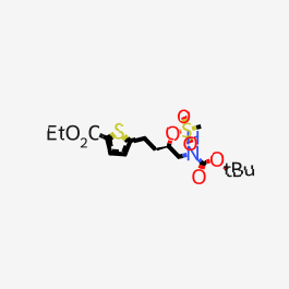 CCOC(=O)c1ccc(CC[C@H](CNC(=O)OC(C)(C)C)OS(C)(=O)=O)s1